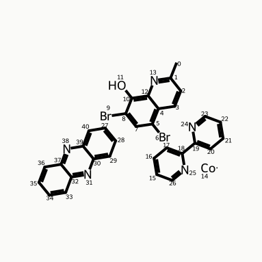 Cc1ccc2c(Br)cc(Br)c(O)c2n1.[Co].c1ccc(-c2ccccn2)nc1.c1ccc2nc3ccccc3nc2c1